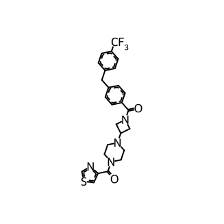 O=C(c1ccc(Cc2ccc(C(F)(F)F)cc2)cc1)N1CC(N2CCN(C(=O)c3cscn3)CC2)C1